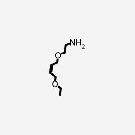 CCOC/C=C\COCCN